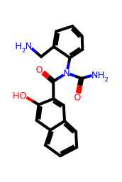 NCc1ccccc1N(C(N)=O)C(=O)c1cc2ccccc2cc1O